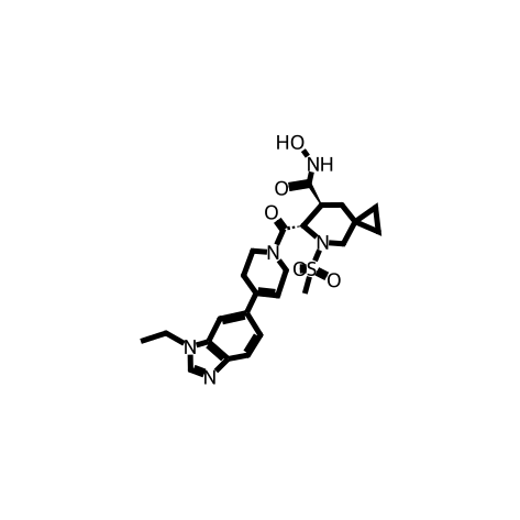 CCn1cnc2ccc(C3=CCN(C(=O)[C@@H]4[C@@H](C(=O)NO)CC5(CC5)CN4S(C)(=O)=O)CC3)cc21